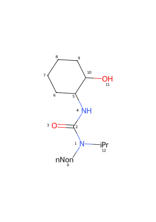 CCCCCCCCCN(C(=O)NC1CCCCC1O)C(C)C